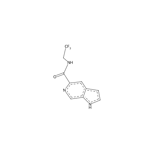 O=C(NCC(F)(F)F)c1cc2cc[nH]c2cn1